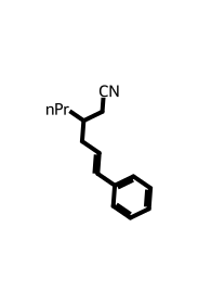 CCCC(CC#N)CC=Cc1ccccc1